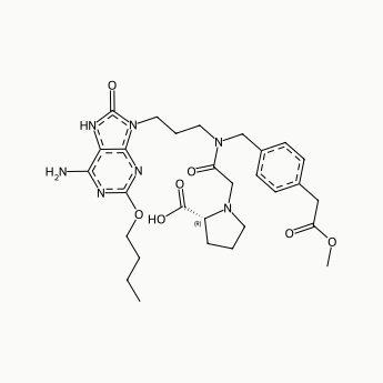 CCCCOc1nc(N)c2[nH]c(=O)n(CCCN(Cc3ccc(CC(=O)OC)cc3)C(=O)CN3CCC[C@@H]3C(=O)O)c2n1